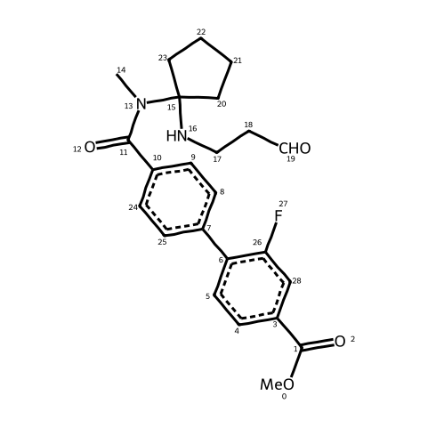 COC(=O)c1ccc(-c2ccc(C(=O)N(C)C3(NCCC=O)CCCC3)cc2)c(F)c1